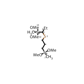 CCC(SCCC[Si](C)(OC)OC)[Si](C)(OC)OC